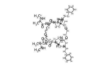 CN[C@@H](C)C(=O)N[C@H]1CCOC[C@H](NC(=O)[C@H](C)NC)C(=O)N2CC[C@H]3C(CN(CCc4ccccc4)C[C@H]32)OCCOC2CN(CCc3ccccc3)C[C@@H]3[C@H]2CCN3C1=O